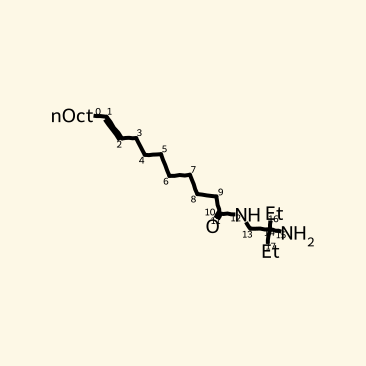 CCCCCCCCC=CCCCCCCCC(=O)NCC(N)(CC)CC